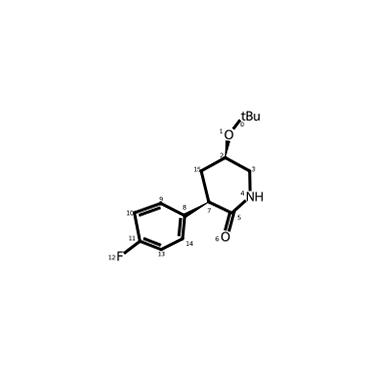 CC(C)(C)O[C@H]1CNC(=O)[C@@H](c2ccc(F)cc2)C1